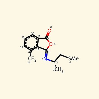 CSC[C@H](C)/N=C1\OC(=O)c2cccc(C(F)(F)F)c21